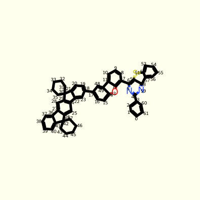 c1ccc(-c2nc(-c3cccc4c3oc3ccc(-c5ccc6c(c5)-c5cc7c(cc5C65CCCCC5)-c5ccccc5C75CCCCC5)cc34)c3sc4ccccc4c3n2)cc1